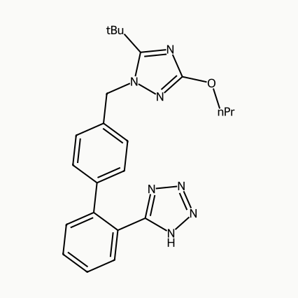 CCCOc1nc(C(C)(C)C)n(Cc2ccc(-c3ccccc3-c3nnn[nH]3)cc2)n1